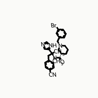 CN(C(=O)[C@H]1CCCN(Cc2cccc(Br)c2)C1)C(C)(Cc1ccc(C#N)cc1)c1cnc[nH]1